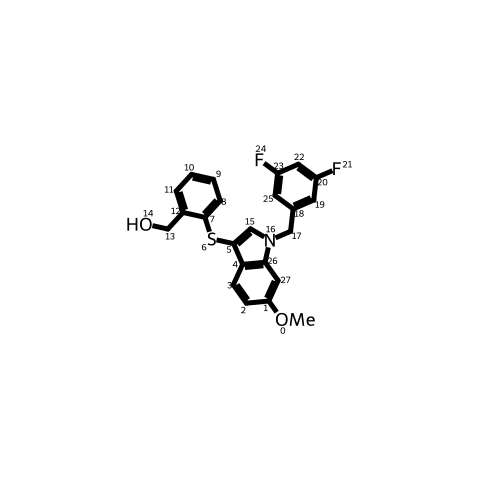 COc1ccc2c(Sc3ccccc3CO)cn(Cc3cc(F)cc(F)c3)c2c1